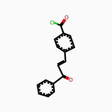 O=C(Cl)c1ccc(C=CC(=O)c2ccccc2)cc1